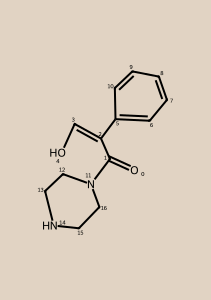 O=C(C(=CO)c1ccccc1)N1CCNCC1